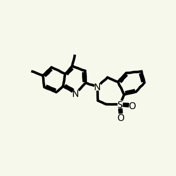 Cc1ccc2nc(N3CCS(=O)(=O)c4ccccc4C3)cc(C)c2c1